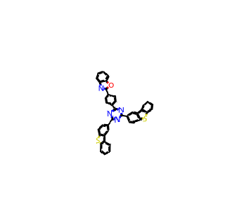 c1ccc2oc(-c3ccc(-c4nc(-c5ccc6sc7ccccc7c6c5)nc(-c5ccc6sc7ccccc7c6c5)n4)cc3)nc2c1